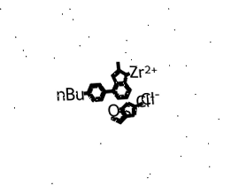 CC1=C2c3ccoc3C1[Si]2(C)C.CCCCc1ccc(-c2cccc3c2C=C(C)[CH]3[Zr+2])cc1.[Cl-].[Cl-]